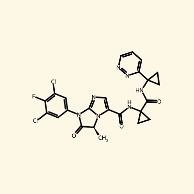 C[C@H]1C(=O)N(c2cc(Cl)c(F)c(Cl)c2)c2ncc(C(=O)NC3(C(=O)NC4(c5cccnn5)CC4)CC3)n21